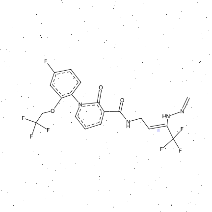 C=NN/C(=C\CNC(=O)c1cccn(-c2ccc(F)cc2OCC(F)(F)F)c1=O)C(F)(F)F